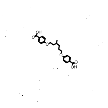 CC(CCCOc1ccc(C(=O)O)cc1)CCOc1ccc(C(=O)O)cc1